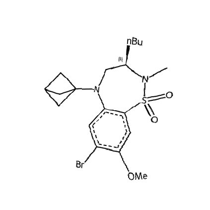 CCCC[C@@H]1CN(C23CC(C2)C3)c2cc(Br)c(OC)cc2S(=O)(=O)N1C